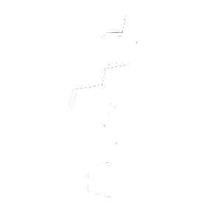 O=CC(NCCC1OCCO1)c1ccc(F)cc1